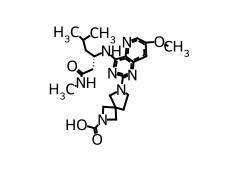 CNC(=O)C[C@H](CC(C)C)Nc1nc(N2CCC3(CN(C(=O)O)C3)C2)nc2cc(OC)cnc12